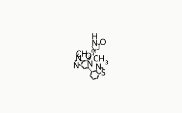 CC(Oc1nc(-c2cccc3scnc23)cc2ncn(C)c12)[C@H]1CNC(=O)C1